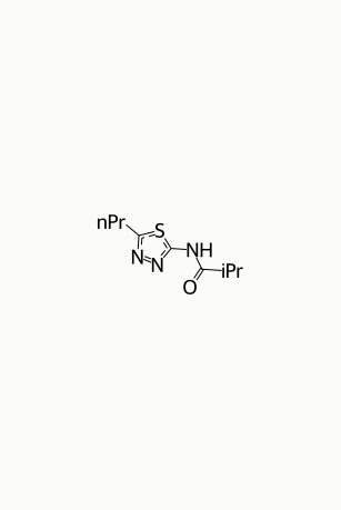 CCCc1nnc(NC(=O)C(C)C)s1